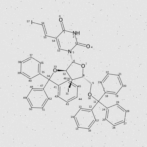 O=c1[nH]c(=O)n([C@@H]2O[C@H](COC(c3ccccc3)(c3ccccc3)c3ccccc3)[C@@H](I)[C@H]2OC(c2ccccc2)(c2ccccc2)c2ccccc2)cc1C=CI